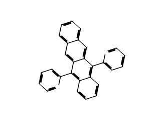 c1ccc(-c2c3ccccc3c(-c3ccccn3)c3cc4ccccc4cc23)nc1